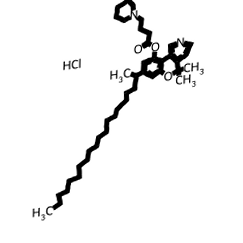 CCCCCCCCCCCCCCCCCCC(C)c1cc(OC(=O)CCCN2CCCCC2)c2c(c1)OC(C)(C)c1ccncc1-2.Cl